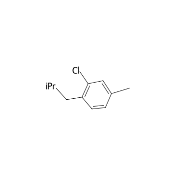 Cc1ccc(CC(C)C)c(Cl)c1